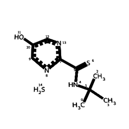 CC(C)(C)NC(=S)c1ncc(O)cn1.S